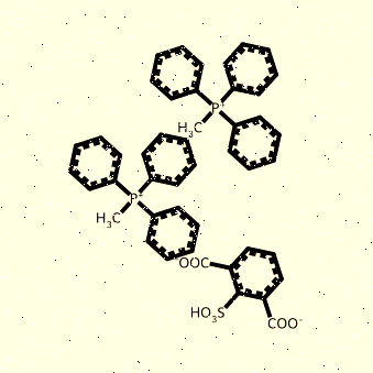 C[P+](c1ccccc1)(c1ccccc1)c1ccccc1.C[P+](c1ccccc1)(c1ccccc1)c1ccccc1.O=C([O-])c1cccc(C(=O)[O-])c1S(=O)(=O)O